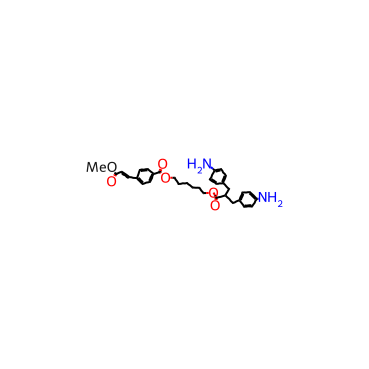 COC(=O)/C=C/c1ccc(C(=O)OCCCCCCOC(=O)C(Cc2ccc(N)cc2)Cc2ccc(N)cc2)cc1